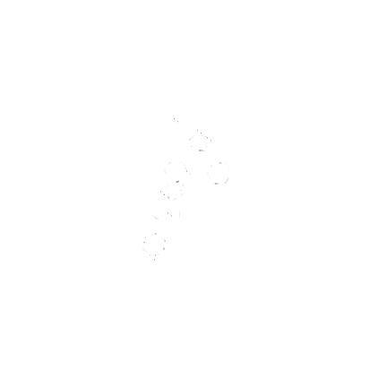 CN1CCn2nc(-c3ccc(F)cc3)c(-c3ccc4nc(NC(=O)c5ccnc(F)c5)cn4n3)c2C1